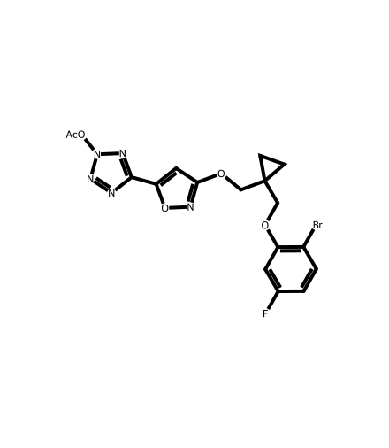 CC(=O)On1nnc(-c2cc(OCC3(COc4cc(F)ccc4Br)CC3)no2)n1